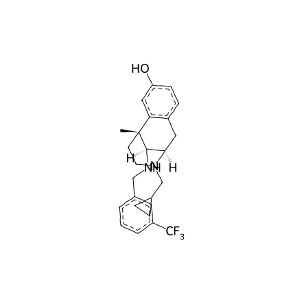 C[C@@]12CCN(CC3CC3)[C@H](Cc3ccc(O)cc31)[C@H]2NCc1cccc(C(F)(F)F)c1